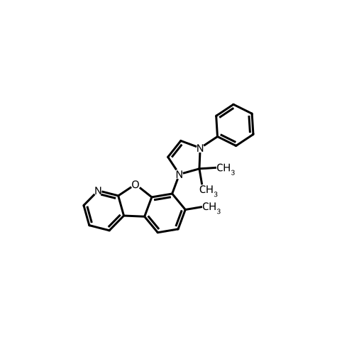 Cc1ccc2c(oc3ncccc32)c1N1C=CN(c2ccccc2)C1(C)C